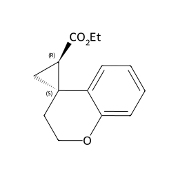 CCOC(=O)[C@@H]1C[C@]12CCOc1ccccc12